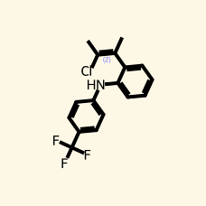 C/C(Cl)=C(\C)c1ccccc1Nc1ccc(C(F)(F)F)cc1